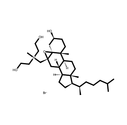 CC(C)CCC[C@@H](C)[C@H]1CC[C@H]2[C@@H]3C[C@]4(C[N+](C)(CCO)CCO)O[C@]45C[C@@H](O)CC[C@]5(C)[C@H]3CC[C@]12C.[Br-]